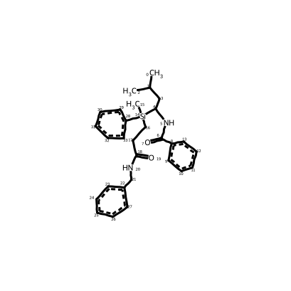 CC(C)CC(NC(=O)c1ccccc1)[Si](C)(CCC(=O)NCc1ccccc1)c1ccccc1